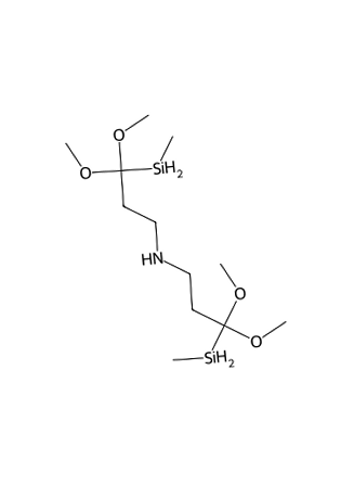 COC(CCNCCC(OC)(OC)[SiH2]C)(OC)[SiH2]C